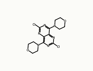 Clc1nc(N2CCOCC2)c2nc(Cl)nc(N3CCOCC3)c2n1